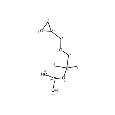 CC(C)(COCC1CO1)OP(O)O